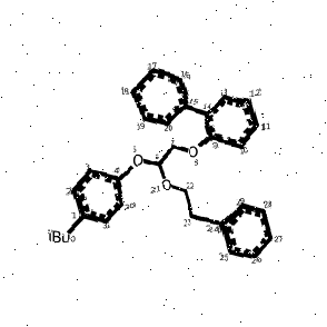 CCC(C)c1ccc(OC(COc2ccccc2-c2ccccc2)OCCc2ccccc2)cc1